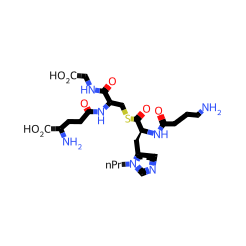 CCCn1cncc1C[C@H](NC(=O)CCCN)C(=O)SCC(NC(=O)CCC(N)C(=O)O)C(=O)NCC(=O)O